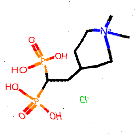 C[N+]1(C)CCC(CC(P(=O)(O)O)P(=O)(O)O)CC1.[Cl-]